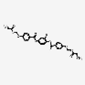 C=CC(=O)OCOc1ccc(C(=O)Oc2ccc(OC(=O)c3ccc(OCOC(=O)C=C)cc3)c(F)c2)cc1